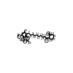 COc1cc(C)c(CCCCCCCCCC(=O)C2CCCCC2=O)c(OC(C)=O)c1OC